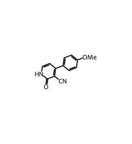 COc1ccc(-c2cc[nH]c(=O)c2C#N)cc1